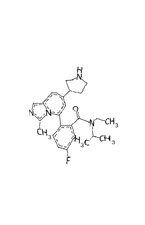 CCN(C(=O)c1cc(F)ccc1-c1cc(C2CCNC2)cc2cnc(C)n12)C(C)C